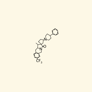 CC1C2Cc3ccc(C(F)(F)F)cc3CN2C(=O)C12CCC(N1CCC(c3ccccc3)CC1)C2